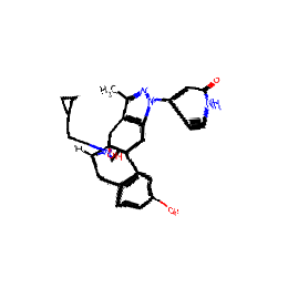 Cc1nn(-c2cc[nH]c(=O)c2)c2c1C[C@@]1(O)[C@H]3Cc4ccc(O)cc4[C@@]1(CCN3CC1CC1)C2